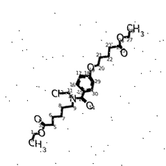 CCOC(=O)CCCCCN(CCl)C(=O)c1ccc(OCCCCC(=O)OCC)cc1